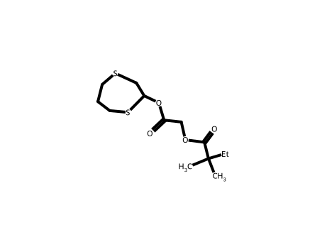 CCC(C)(C)C(=O)OCC(=O)OC1CSCCCS1